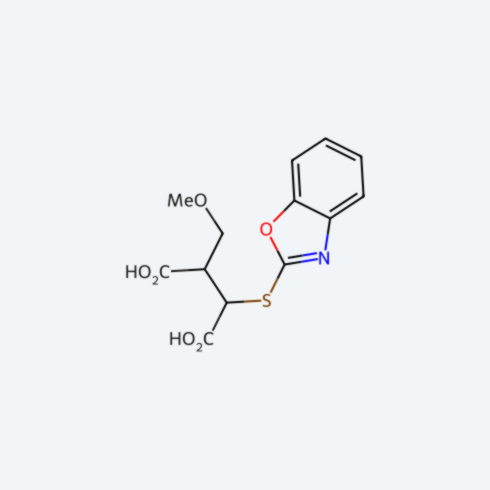 COCC(C(=O)O)C(Sc1nc2ccccc2o1)C(=O)O